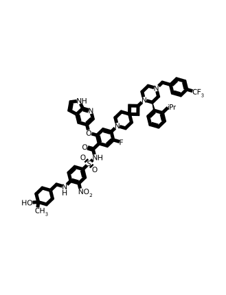 CC(C)c1ccccc1[C@@H]1CN(Cc2ccc(C(F)(F)F)cc2)CCN1C1CC2(CCN(c3cc(Oc4cnc5[nH]ccc5c4)c(C(=O)NS(=O)(=O)c4ccc(NCC5CCC(C)(O)CC5)c([N+](=O)[O-])c4)cc3F)CC2)C1